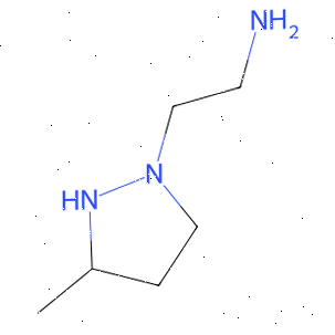 CC1CCN(CCN)N1